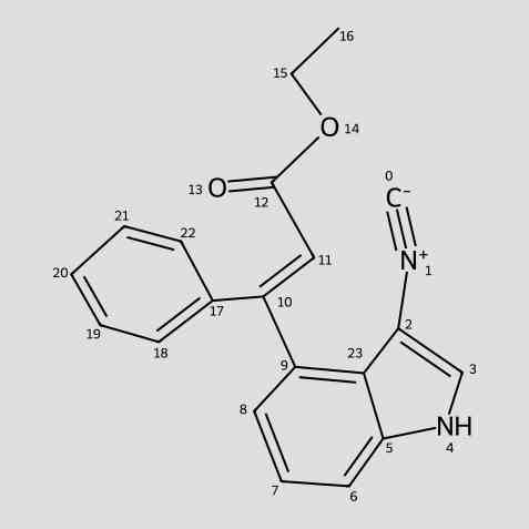 [C-]#[N+]c1c[nH]c2cccc(/C(=C/C(=O)OCC)c3ccccc3)c12